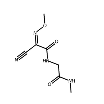 CNC(=O)CNC(=O)/C(C#N)=N\OC